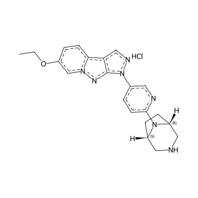 CCOc1ccc2c3cnn(-c4ccc(N5[C@@H]6CC[C@H]5CNC6)nc4)c3nn2c1.Cl